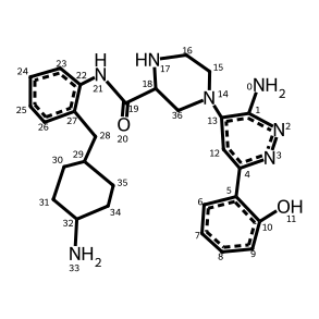 Nc1nnc(-c2ccccc2O)cc1N1CCNC(C(=O)Nc2ccccc2CC2CCC(N)CC2)C1